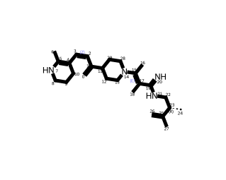 C=C(/C=C\C1=C(C)NCCC1)C1CCN(/C(C)=C(\C)C(=N)NC[C@H](C)C(=C)C)CC1